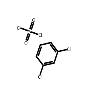 Clc1cccc(Cl)c1.O=S(=O)(Cl)Cl